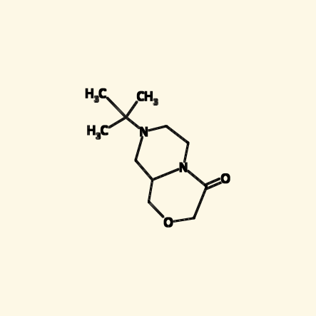 CC(C)(C)N1CCN2C(=O)COCC2C1